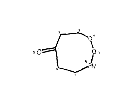 O=C1CCOOPCC1